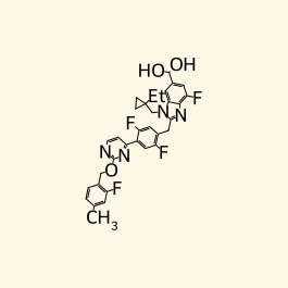 CCC1(Cn2c(Cc3cc(F)c(-c4ccnc(OCc5ccc(C)cc5F)n4)cc3F)nc3c(F)cc(C(O)O)cc32)CC1